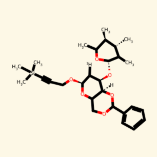 [3H]C1[C@H](OCC#C[Si](C)(C)C)OC2COC(c3ccccc3)O[C@@H]2[C@@H]1O[C@@H]1OC(C)[C@@H](C)[C@H](C)C1C